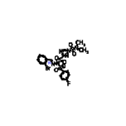 CN(C)S(=O)(=O)n1cnc(S(=O)(=O)N(/N=C/c2ccccc2Br)S(=O)(=O)c2ccc(F)cc2)n1